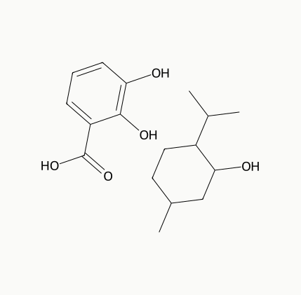 CC1CCC(C(C)C)C(O)C1.O=C(O)c1cccc(O)c1O